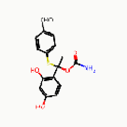 CC(OC(N)=O)(Sc1ccc(C=O)cc1)c1ccc(O)cc1O